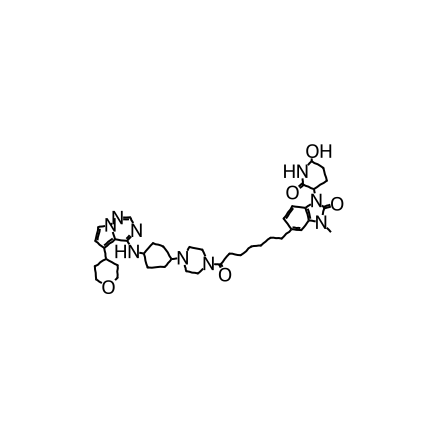 Cn1c(=O)n(C2CCC(O)NC2=O)c2ccc(CCCCCCC(=O)N3CCN(C4CCC(Nc5ncnn6ccc(C7CCOCC7)c56)CC4)CC3)cc21